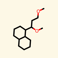 COCCC(OC)C1CCCC2CCCCC21